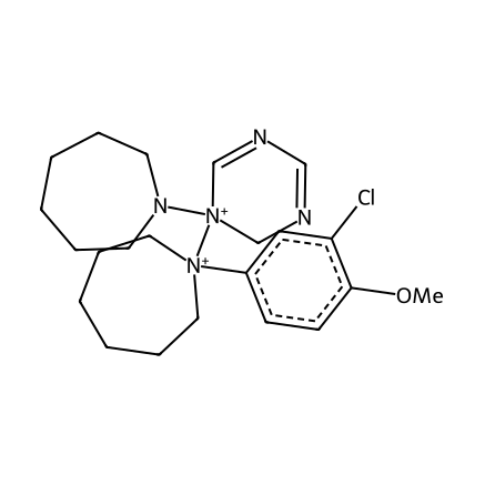 COc1ccc([N+]2([N+]3(N4CCCCCC4)C=NC=NC3)CCCCCC2)cc1Cl